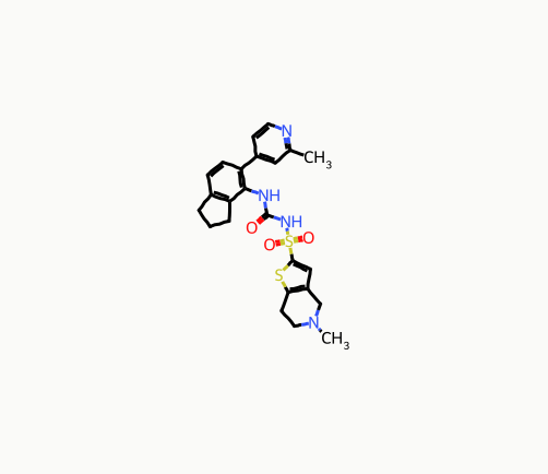 Cc1cc(-c2ccc3c(c2NC(=O)NS(=O)(=O)c2cc4c(s2)CCN(C)C4)CCC3)ccn1